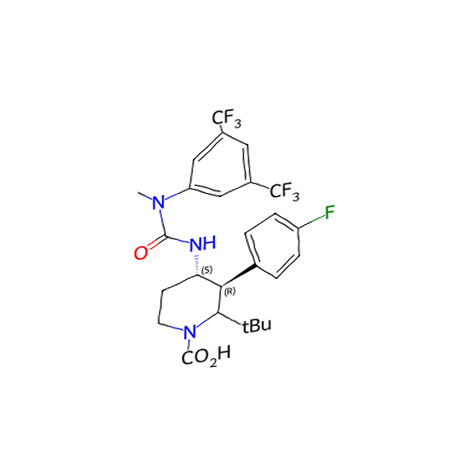 CN(C(=O)N[C@H]1CCN(C(=O)O)C(C(C)(C)C)[C@@H]1c1ccc(F)cc1)c1cc(C(F)(F)F)cc(C(F)(F)F)c1